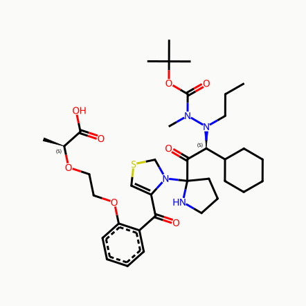 CCCN([C@H](C(=O)C1(N2CSC=C2C(=O)c2ccccc2OCCO[C@@H](C)C(=O)O)CCCN1)C1CCCCC1)N(C)C(=O)OC(C)(C)C